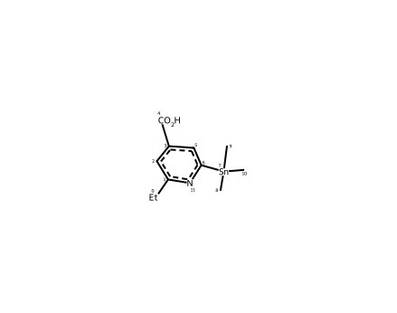 CCc1cc(C(=O)O)c[c]([Sn]([CH3])([CH3])[CH3])n1